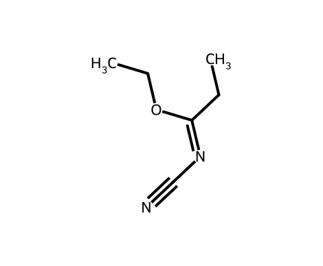 CCO/C(CC)=N\C#N